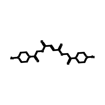 CC(=O)N1CCN(C(=O)COC(=O)C=CC(=O)OCC(=O)N2CCN(C(C)=O)CC2)CC1